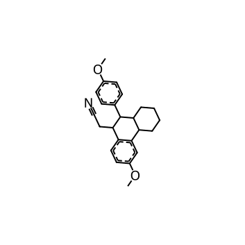 COc1ccc(C2C(CC#N)c3ccc(OC)cc3C3CCCCC32)cc1